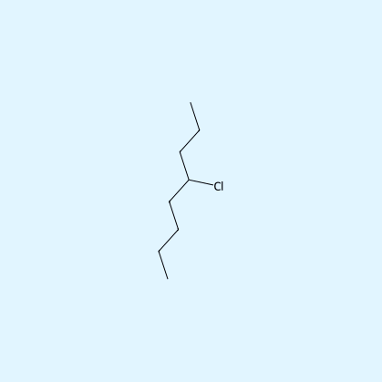 CCCCC(Cl)CCC